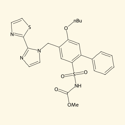 CCCCOc1cc(-c2ccccc2)c(S(=O)(=O)NC(=O)OC)cc1Cn1ccnc1-c1nccs1